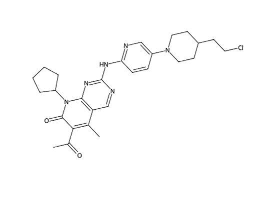 CC(=O)c1c(C)c2cnc(Nc3ccc(N4CCC(CCCl)CC4)cn3)nc2n(C2CCCC2)c1=O